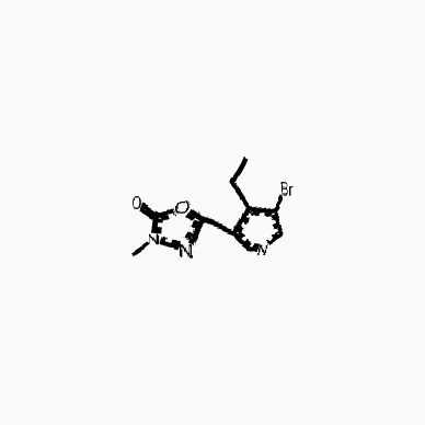 CCc1c(Br)cncc1-c1nn(C)c(=O)o1